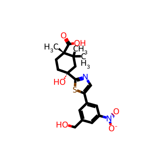 CC1(C)C[C@@](O)(c2ncc(-c3cc(CO)cc([N+](=O)[O-])c3)s2)CC[C@]1(C)C(=O)O